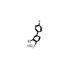 CCc1cc(-c2ccc(F)cc2)ccc1C(=O)O